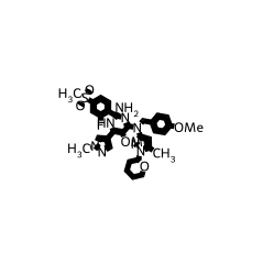 COC1=C(c2cnn(C)c2)NC(N)(c2ccc(S(C)(=O)=O)cc2F)N=C1N(Cc1ccc(OC)cc1)c1cc(C)n(C2CCCCO2)n1